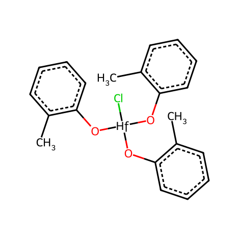 Cc1ccccc1[O][Hf]([Cl])([O]c1ccccc1C)[O]c1ccccc1C